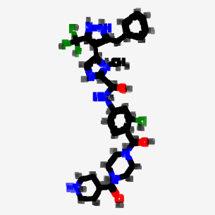 Cn1c(-c2c(C(F)(F)F)n[nH]c2Cc2ccccc2)cnc1C(=O)Nc1ccc(C(=O)N2CCN(C(=O)C3CCNCC3)CC2)c(Cl)c1